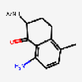 CC(=O)NC1CCc2c(C)ccc(N)c2C1=O